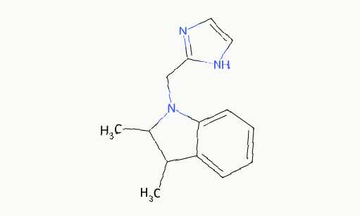 CC1c2ccccc2N(Cc2ncc[nH]2)C1C